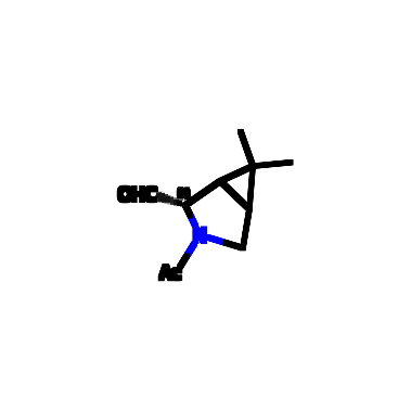 CC(=O)N1CC2C([C@H]1C=O)C2(C)C